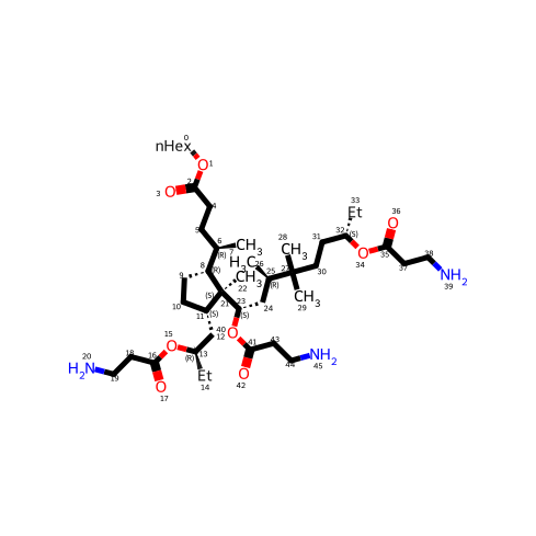 CCCCCCOC(=O)CC[C@@H](C)[C@H]1CC[C@@H](C[C@@H](CC)OC(=O)CCN)[C@]1(C)[C@H](C[C@@H](C)C(C)(C)CC[C@H](CC)OC(=O)CCN)OC(=O)CCN